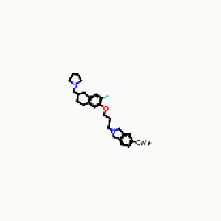 COc1ccc2c(c1)CN(CCCOc1cc3c(cc1F)CC(CN1CCCC1)CC3)C2